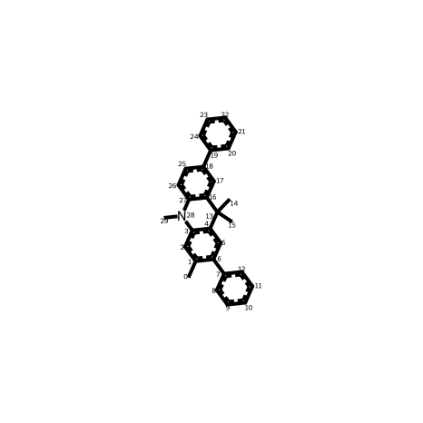 Cc1cc2c(cc1-c1ccccc1)C(C)(C)c1cc(-c3ccccc3)ccc1N2C